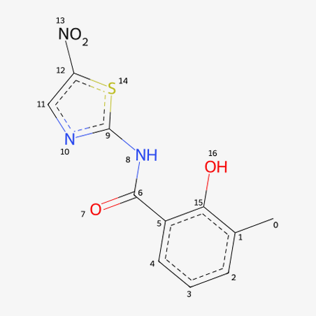 Cc1cccc(C(=O)Nc2ncc([N+](=O)[O-])s2)c1O